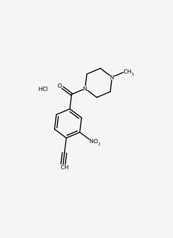 C#Cc1ccc(C(=O)N2CCN(C)CC2)cc1[N+](=O)[O-].Cl